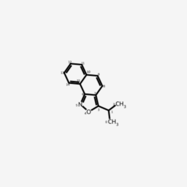 CC(C)c1onc2c1ccc1ccccc12